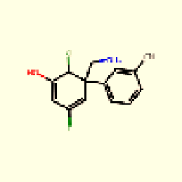 N#Cc1cccc(C2(CN)C=C(F)C=C(O)C2Cl)c1